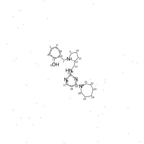 Oc1ccccc1CN1CCCC1CNc1nccc(N2CCCCCC2)n1